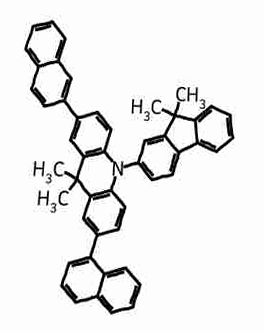 CC1(C)c2ccccc2-c2ccc(N3c4ccc(-c5ccc6ccccc6c5)cc4C(C)(C)c4cc(-c5cccc6ccccc56)ccc43)cc21